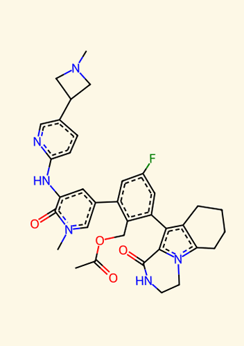 CC(=O)OCc1c(-c2cc(Nc3ccc(C4CN(C)C4)cn3)c(=O)n(C)c2)cc(F)cc1-c1c2c(n3c1C(=O)NCC3)CCCC2